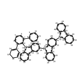 C1=CC(c2cccc(-c3ccccc3)c2-n2c3ccccc3c3cc(-n4c5ccccc5c5cc(-n6c7ccccc7c7ccccc76)ccc54)ccc32)=CCC1